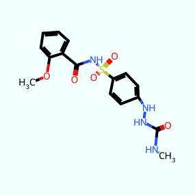 CNC(=O)NNc1ccc(S(=O)(=O)NC(=O)c2ccccc2OC)cc1